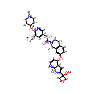 C[C@H]1c2cc(Oc3ccnc4[nH]c(C5(O)COC5)cc34)ccc2CCN1C(=O)Nc1cnc(OC2CCN(C)CC2)c(C(F)(F)F)c1